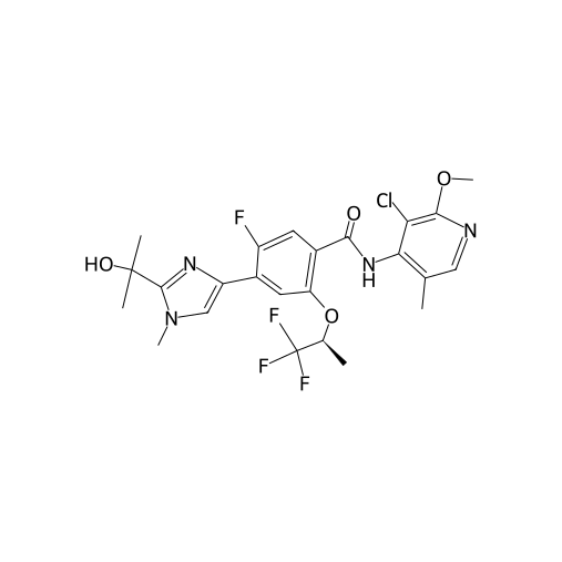 COc1ncc(C)c(NC(=O)c2cc(F)c(-c3cn(C)c(C(C)(C)O)n3)cc2O[C@@H](C)C(F)(F)F)c1Cl